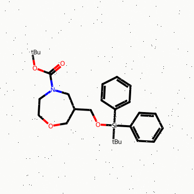 CC(C)(C)OC(=O)N1CCOCC(CO[Si](c2ccccc2)(c2ccccc2)C(C)(C)C)C1